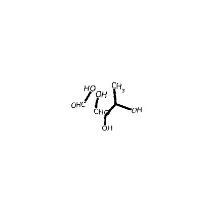 CC(O)CO.O=CO.O=CO